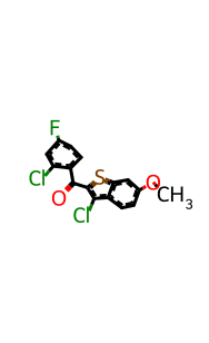 COc1ccc2c(Cl)c(C(=O)c3ccc(F)cc3Cl)sc2c1